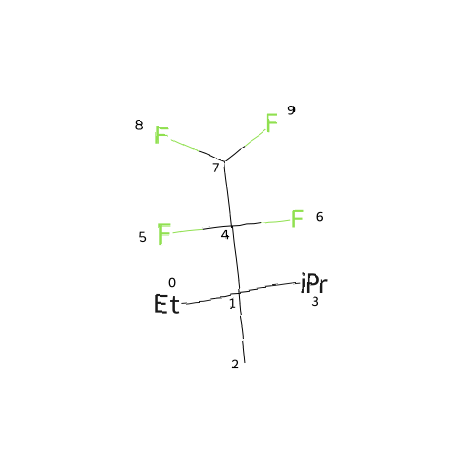 CCC(C)(C(C)C)C(F)(F)C(F)F